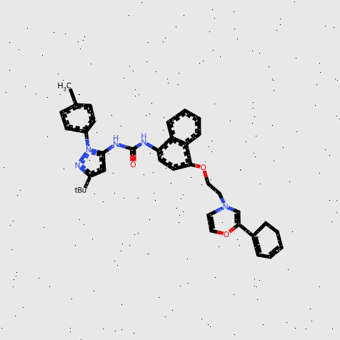 Cc1ccc(-n2nc(C(C)(C)C)cc2NC(=O)Nc2ccc(OCCN3C=COC(C4=CC=CCC4)=C3)c3ccccc23)cc1